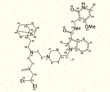 C=C(CCN(CCN1CCC([C@@H](C)n2c(C)c(C(=O)NCc3c(OC)cc(C)[nH]c3=O)c3ccccc32)CC1)CCC12CC3CC(CC(C3)C1)C2)CC(CC)CC